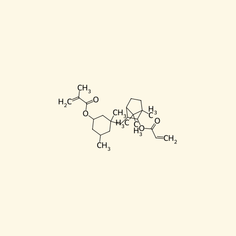 C=CC(=O)OC1C(CC2(C)CC(C)CC(OC(=O)C(=C)C)C2)C2CCC1(C)C2(C)C